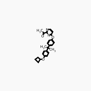 CC(=O)c1nccc(Oc2ccc(C(C)(C)c3ccc(OC4CCC4)cc3)cc2)n1